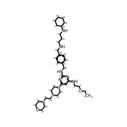 CCOCCNc1cc(N2CCN(CCN3CCOCC3)CC2)nc(NCc2ccc(CNCCCNC3CCCCC3)cc2)n1